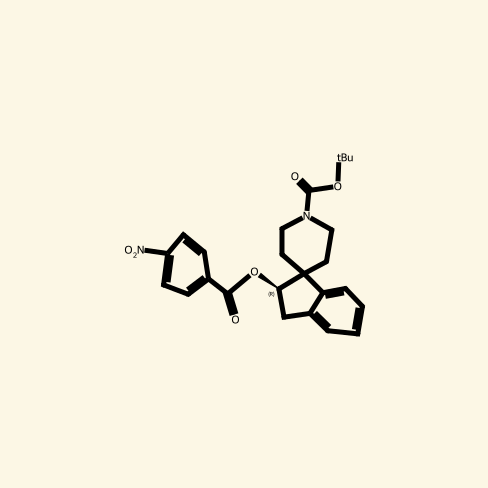 CC(C)(C)OC(=O)N1CCC2(CC1)c1ccccc1C[C@H]2OC(=O)c1ccc([N+](=O)[O-])cc1